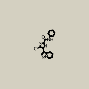 O=C(Nc1ccccc1)c1nc(-c2cnn3ccccc23)c(Cl)s1